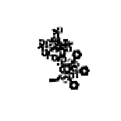 C#CCCO[C@@H]1O[C@H](CO[C@]2(C(=O)OC)C[C@H](OC(C)=O)[C@@H](NC(=O)COC(C)=O)[C@H]([C@H](OC(C)=O)[C@@H](COC(C)=O)OC(C)=O)O2)[C@H](OC(=O)c2ccccc2)[C@H](OC(=O)c2ccccc2)[C@H]1OC(=O)c1ccccc1